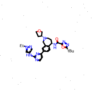 CCn1cc(Nc2nccc(-c3ccc4c(c3)CN([C@@H]3CCOC3)CC[C@@H]4NC(=O)c3nnc(C(C)(C)C)o3)n2)cn1